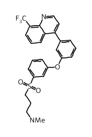 CNCCCS(=O)(=O)c1cccc(Oc2cccc(-c3ccnc4c(C(F)(F)F)cccc34)c2)c1